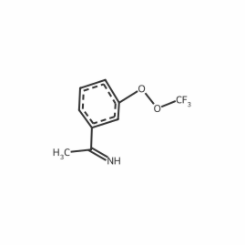 CC(=N)c1cccc(OOC(F)(F)F)c1